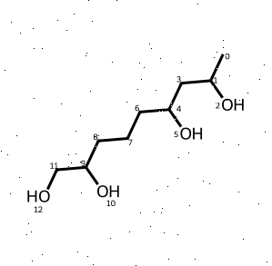 CC(O)CC(O)CCCC(O)CO